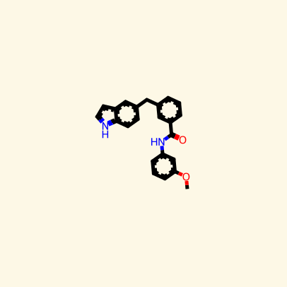 COc1cccc(NC(=O)c2cccc(Cc3ccc4[nH]ccc4c3)c2)c1